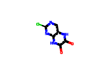 O=c1[nH]c2cnc(Cl)nc2[nH]c1=O